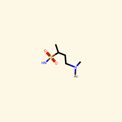 CC(=O)N(C)CCC(C)S([NH])(=O)=O